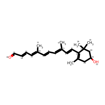 CC1=C(/C=C/C(C)=C/C=C/C(C)=C/C=C/C=O)C(C)(C)CC(O)C1